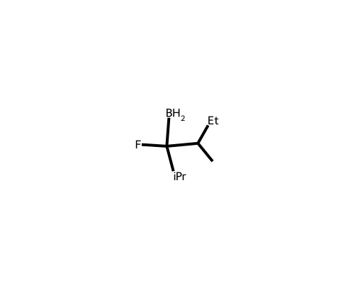 BC(F)(C(C)C)C(C)CC